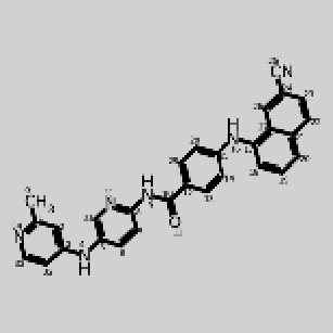 Cc1cc(Nc2ccc(NC(=O)c3ccc(Nc4cccc5ccc(C#N)cc45)cc3)nc2)ccn1